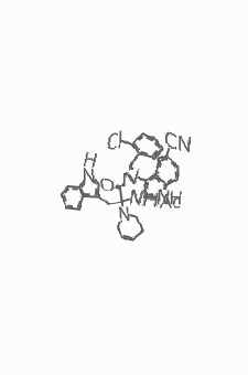 CC(=O)NC(Cc1c[nH]c2ccccc12)(C(=O)N(Cc1ccccc1Cl)c1c[nH]c2ccc(C#N)cc12)N1CC=CCC1